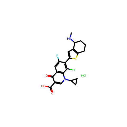 CNC1CCCc2sc(-c3c(F)cc4c(=O)c(C(=O)O)cn(C5CC5)c4c3Cl)cc21.Cl